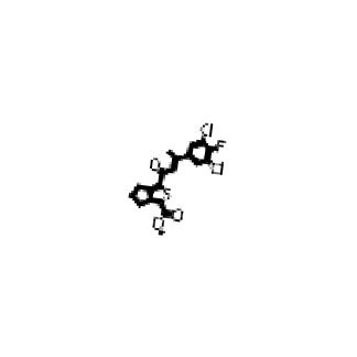 COC(=O)c1sc(C(=O)/C=C(\C)c2cc(Cl)c(F)c(Cl)c2)c2c1CCC2